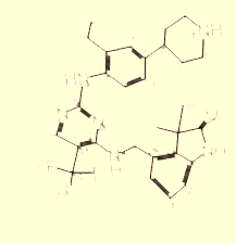 CCc1cc(C2CCNCC2)ccc1Nc1ncc(C(F)(F)F)c(NCc2cccc3c2C(C)(C)C(=O)N3)n1